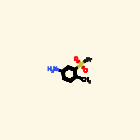 Cc1ccc(N)cc1S(=O)(=O)C(C)C